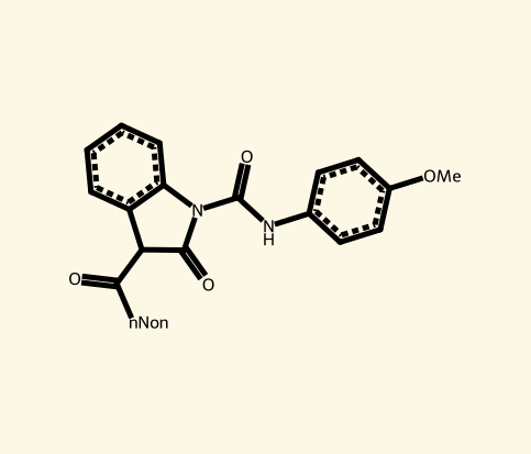 CCCCCCCCCC(=O)C1C(=O)N(C(=O)Nc2ccc(OC)cc2)c2ccccc21